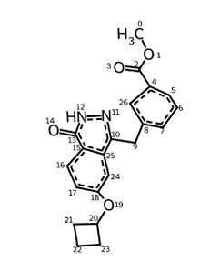 COC(=O)c1cccc(Cc2n[nH]c(=O)c3ccc(OC4CCC4)cc23)c1